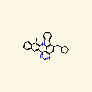 Cc1c2ccccc2cc2c3ncnc4cc(CC5CCCC5)c5c6ccccc6n(c12)c5c43